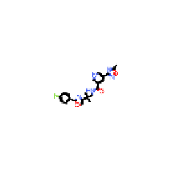 Cc1nc(-c2cncc(C(=O)NCC(C)(C)c3coc(-c4ccc(F)cc4)n3)c2)no1